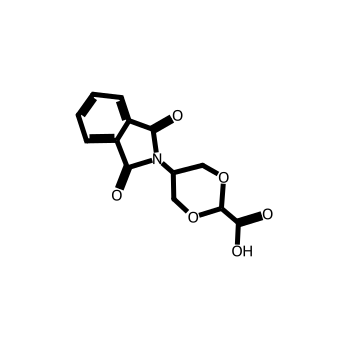 O=C(O)C1OCC(N2C(=O)c3ccccc3C2=O)CO1